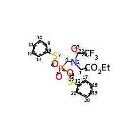 CCOC(=O)CN(CP(=O)(OSc1ccccc1)OSc1ccccc1)C(=O)C(F)(F)F